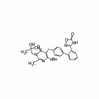 CCCCc1nc(C)n(CC(C)(C)O)c(=O)c1Cc1ccc(-c2ccccc2-c2noc(=O)[nH]2)cc1